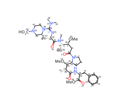 CC[C@H](C)[C@@H]([C@H](CC(=O)N1CCC[C@H]1[C@H](OC)[C@@H](C)C(=O)N[C@@H](Cc1ccccc1)C(=O)OC)OC)N(C)C(=O)[C@@H](/N=C(/N(C)C)N1CCN(C(=O)O)CC1)C(C)C